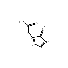 NC(=O)CC1=NC=NC1=O